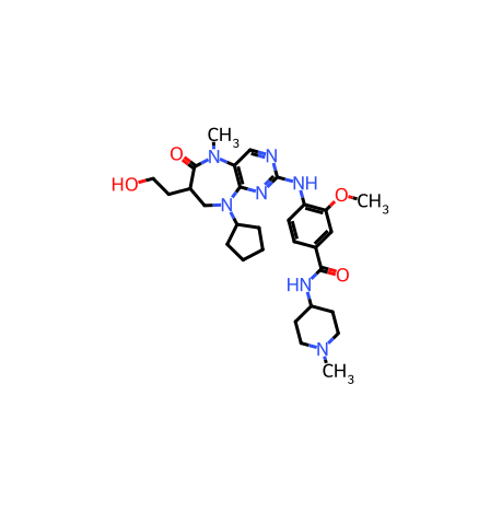 COc1cc(C(=O)NC2CCN(C)CC2)ccc1Nc1ncc2c(n1)N(C1CCCC1)CC(CCO)C(=O)N2C